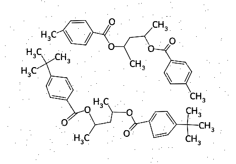 CC(CC(C)OC(=O)c1ccc(C(C)(C)C)cc1)OC(=O)c1ccc(C(C)(C)C)cc1.Cc1ccc(C(=O)OC(C)CC(C)OC(=O)c2ccc(C)cc2)cc1